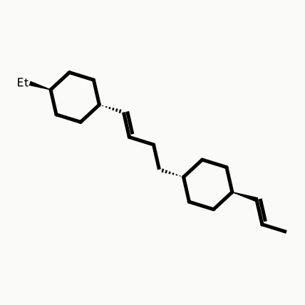 CC=C[C@H]1CC[C@H](CCC=C[C@H]2CC[C@H](CC)CC2)CC1